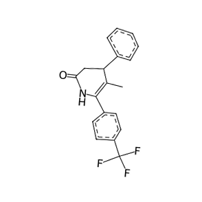 CC1=C(c2ccc(C(F)(F)F)cc2)NC(=O)CC1c1ccccc1